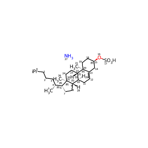 CC(C)CCC[C@@H](C)[C@H]1CC[C@H]2[C@@H]3CC=C4C[C@H](OS(=O)(=O)O)CC[C@]4(C)[C@H]3CC[C@]12C.N